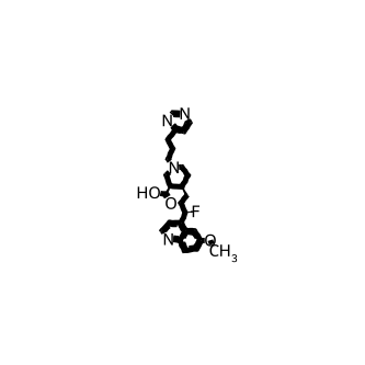 COc1ccc2nccc([C@@H](F)CC[C@@H]3CCN(CCCc4ccncn4)C[C@@H]3C(=O)O)c2c1